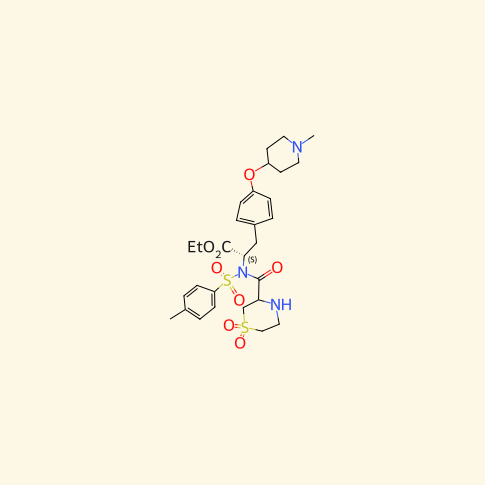 CCOC(=O)[C@H](Cc1ccc(OC2CCN(C)CC2)cc1)N(C(=O)C1CS(=O)(=O)CCN1)S(=O)(=O)c1ccc(C)cc1